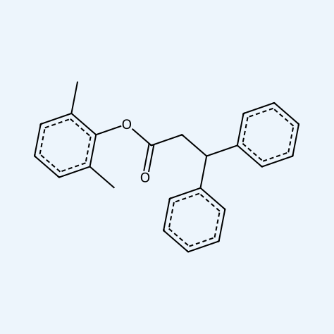 Cc1cccc(C)c1OC(=O)CC(c1ccccc1)c1ccccc1